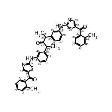 Cc1ccccc1C(=O)c1cnc(Nc2cccc(C(C)C(=O)C(C)c3cccc(Nc4ncc(C(=O)c5ccccc5C)s4)c3)c2)s1